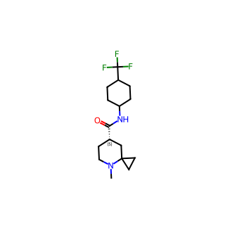 CN1CC[C@H](C(=O)NC2CCC(C(F)(F)F)CC2)CC12CC2